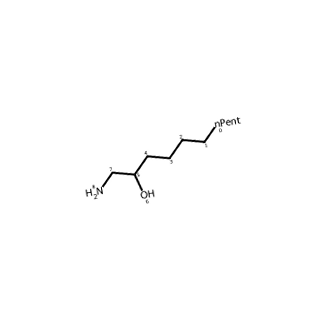 CCCCCCCCCC(O)CN